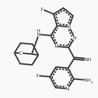 N=C(c1nc(NC2CC3CCC2CC3)c2c(F)ccn2n1)c1cc(F)cnc1N